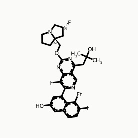 CCc1c(F)ccc2cc(O)cc(-c3ncc4c(CC(C)(C)O)nc(OC[C@@]56CCCN5C[C@H](F)C6)nc4c3F)c12